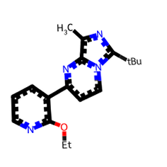 CCOc1ncccc1-c1ccn2c(C(C)(C)C)nc(C)c2n1